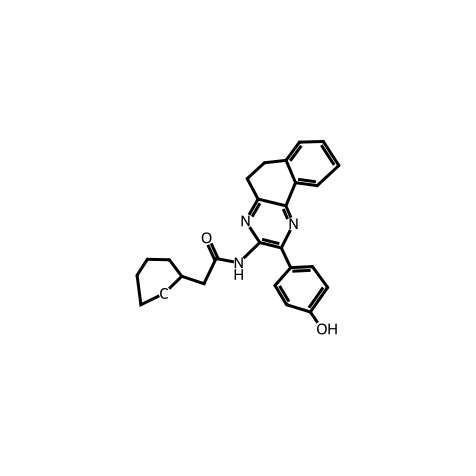 O=C(CC1CCCCC1)Nc1nc2c(nc1-c1ccc(O)cc1)-c1ccccc1CC2